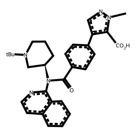 Cn1ncc(-c2ccc(C(=O)N(c3nccc4ccccc34)[C@@H]3CCCN(C(C)(C)C)C3)cc2)c1C(=O)O